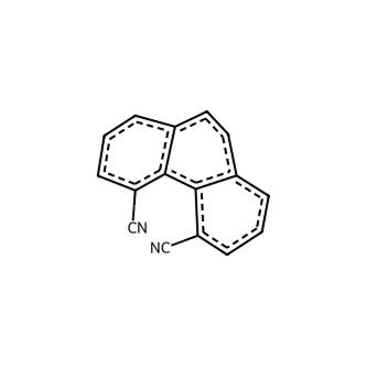 N#Cc1cccc2ccc3cccc(C#N)c3c12